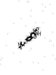 Cc1ncsc1CCOc1ccc(CC2SC(=O)NC2=O)cc1